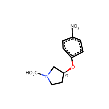 O=C(O)N1CC[C@H](Oc2ccc([N+](=O)[O-])cc2)C1